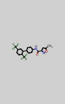 Cc1cc(C(=O)Nc2ccc(-c3cc(C(F)(F)F)ccc3C(F)(F)F)cc2)no1